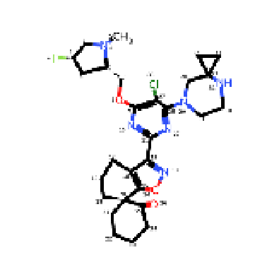 CN1C[C@H](F)C[C@H]1COc1nc(-c2noc3c2CCC[C@@]32CCCCC2=O)nc(N2CCNC3(CC3)C2)c1Cl